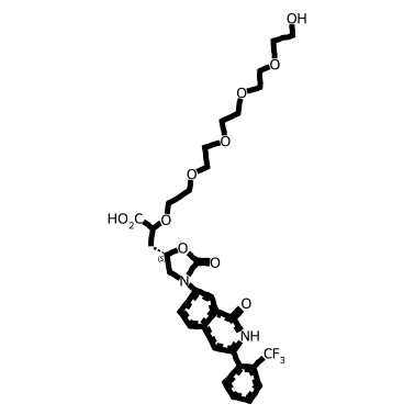 O=C(O)C(C[C@H]1CN(c2ccc3cc(-c4ccccc4C(F)(F)F)[nH]c(=O)c3c2)C(=O)O1)OCCOCCOCCOCCOCCO